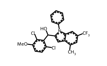 COc1ccc(Cl)c(C(O)c2cc3c(C)cc(C(F)(F)F)cc3n2-c2ccccc2)c1Cl